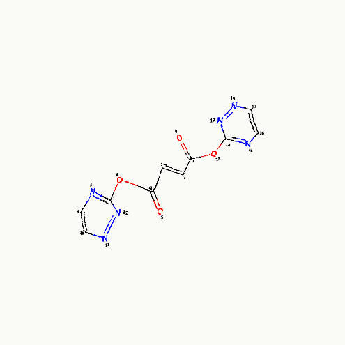 O=C(/C=C/C(=O)Oc1nccnn1)Oc1nccnn1